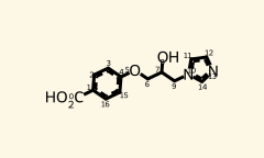 O=C(O)c1ccc(OCC(O)Cn2ccnc2)cc1